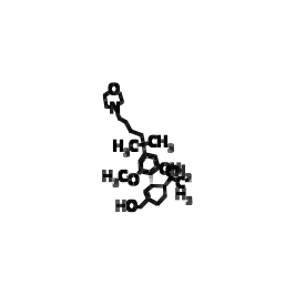 C=C(C)[C@H]1CCC(CO)=C[C@@H]1c1c(O)cc(C(C)(C)CCCCN2CCOCC2)cc1OC